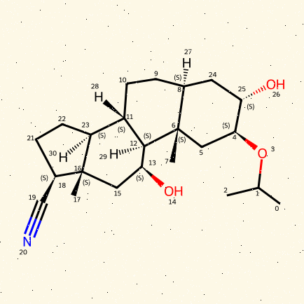 CC(C)O[C@H]1C[C@@]2(C)[C@@H](CC[C@@H]3[C@@H]2[C@@H](O)C[C@]2(C)[C@@H](C#N)CC[C@@H]32)C[C@@H]1O